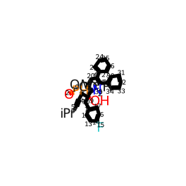 CO[PH](=O)C(C#CC(C)C)(C(=O)O)C(O)(Cc1ccc(F)cc1)c1ccc(-c2ccccc2)c(-c2ccccc2)n1